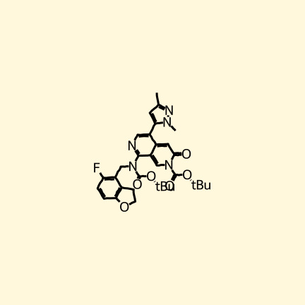 Cc1cc(-c2cnc(N(Cc3c(F)ccc4c3CCO4)C(=O)OC(C)(C)C)c3cn(C(=O)OC(C)(C)C)c(=O)cc23)n(C)n1